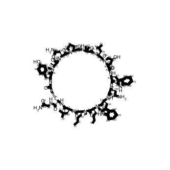 CCCC[C@H]1C(=O)N(C)[C@@H](CCCC)C(=O)N[C@@H](CC(C)C)C(=O)N[C@H](C(=O)NCC(N)=O)CSCC(=O)N[C@@H](Cc2ccc(O)cc2)C(=O)N(C)[C@@H](C)C(=O)N[C@@H](CC(N)=O)C(=O)N2CCC[C@H]2C(=O)NC(C)(C)C(=O)N[C@@H](CC(C)C)C(=O)N2C[C@H](O)C[C@H]2C(=O)N[C@@H](Cc2c[nH]c3ccccc23)C(=O)N[C@@H](CCN)C(=O)N[C@@H](Cc2c[nH]c3ccccc23)C(=O)N1C